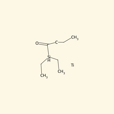 CCCC(=O)[SiH](CC)CC.[Ti]